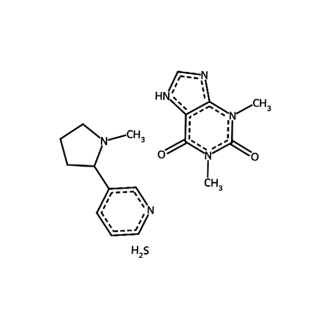 CN1CCCC1c1cccnc1.Cn1c(=O)c2[nH]cnc2n(C)c1=O.S